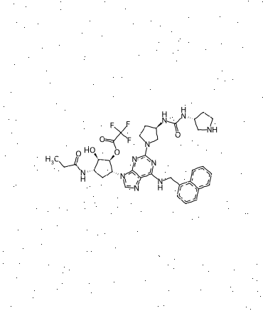 CCC(=O)N[C@H]1C[C@@H](n2cnc3c(NCc4cccc5ccccc45)nc(N4CC[C@@H](NC(=O)N[C@@H]5CCNC5)C4)nc32)[C@H](OC(=O)C(F)(F)F)[C@@H]1O